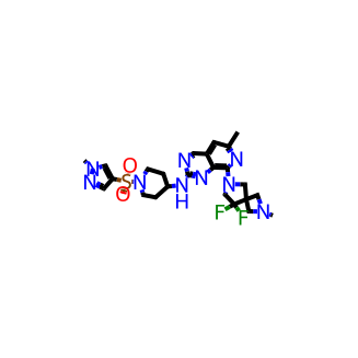 Cc1cc2cnc(NC3CCN(S(=O)(=O)c4cnn(C)c4)CC3)nc2c(N2CC(F)(F)C3(CN(C)C3)C2)n1